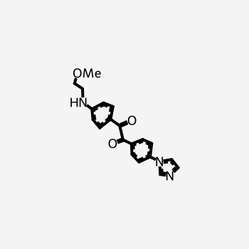 COCCNc1ccc(C(=O)C(=O)c2ccc(-n3ccnc3)cc2)cc1